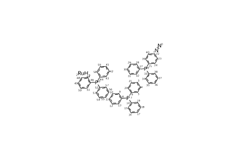 N#N.[RuH2].c1ccc(P(c2ccccc2)c2ccccc2)cc1.c1ccc(P(c2ccccc2)c2ccccc2)cc1.c1ccc(P(c2ccccc2)c2ccccc2)cc1